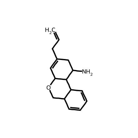 C=CCC1=CC2OCC3C=CC=CC3C2C(N)C1